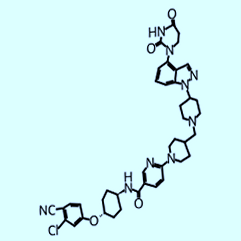 N#Cc1ccc(O[C@H]2CC[C@H](NC(=O)c3ccc(N4CCC(CN5CCC(n6ncc7c(N8CCC(=O)NC8=O)cccc76)CC5)CC4)nc3)CC2)cc1Cl